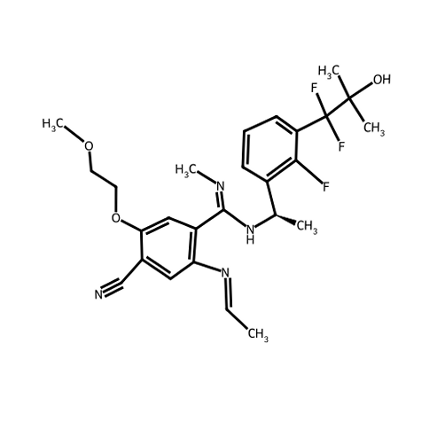 C/C=N/c1cc(C#N)c(OCCOC)cc1/C(=N\C)N[C@H](C)c1cccc(C(F)(F)C(C)(C)O)c1F